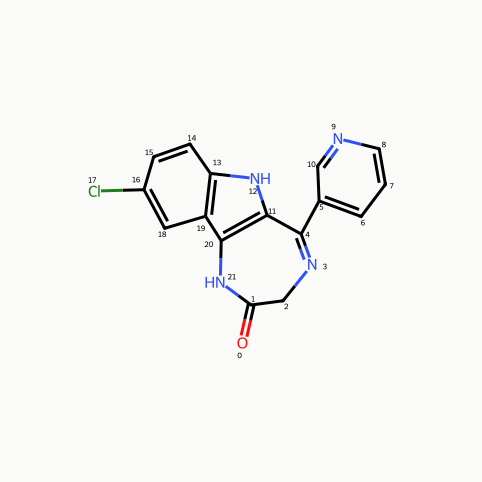 O=C1CN=C(c2cccnc2)c2[nH]c3ccc(Cl)cc3c2N1